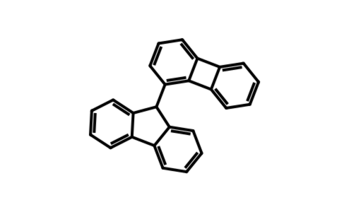 c1ccc2c(c1)-c1cccc(C3c4ccccc4-c4ccccc43)c1-2